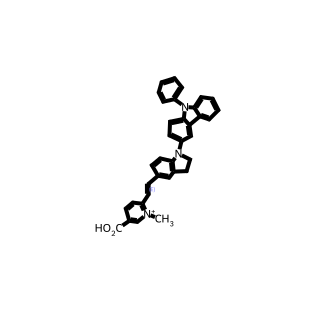 C[n+]1cc(C(=O)O)ccc1/C=C/c1ccc2c(c1)CCN2c1ccc2c(c1)c1ccccc1n2-c1ccccc1